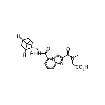 CN(CC(=O)O)C(=O)c1cn2c(C(=O)NC[C@@H]3CC[C@H]4C[C@@H]3C4(C)C)cccc2n1